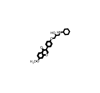 COc1ccc2c(=O)c(-c3ccc(OCC(O)CNC4CCCCC4)cc3)coc2c1